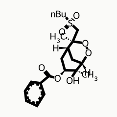 CCCCS(=O)(=O)C[C@@]1(C)OO[C@H]2C[C@@H]1C[C@H](OC(=O)c1ccccc1)[C@]2(C)O